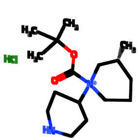 C[C@@H]1CCC[N+](C(=O)OC(C)(C)C)(C2CCNCC2)C1.Cl